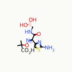 CC(C)(O/N=C(/C(=O)NCB(O)O)c1csc(N)n1)C(=O)O